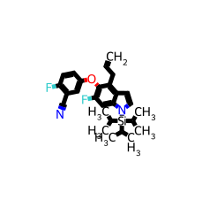 C=CCc1c(Oc2ccc(F)c(C#N)c2)c(F)cc2c1ccn2[Si](C(C)C)(C(C)C)C(C)C